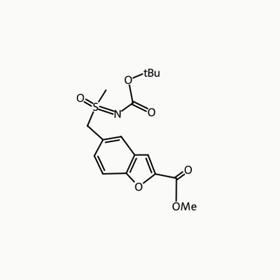 COC(=O)c1cc2cc(CS(C)(=O)=NC(=O)OC(C)(C)C)ccc2o1